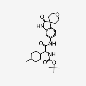 CC1CCC(C(NC(=O)OC(C)(C)C)C(=O)Nc2ccc3c(c2)NC(=O)C32CCOCC2)CC1